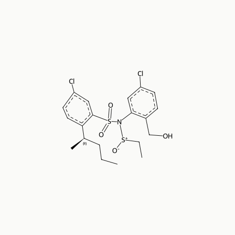 CCC[C@@H](C)c1ccc(Cl)cc1S(=O)(=O)N(c1cc(Cl)ccc1CO)[S+]([O-])CC